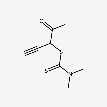 C#CC(SC(=S)N(C)C)C(C)=O